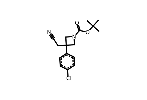 CC(C)(C)OC(=O)N1CC(CC#N)(c2ccc(Cl)cc2)C1